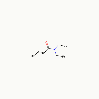 CC(C)/C=C/C(=O)N(CC(C)C)CC(C)C